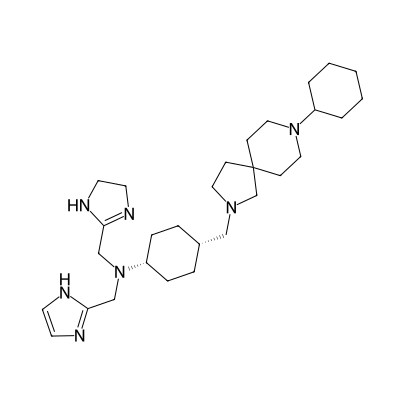 c1c[nH]c(CN(CC2=NCCN2)[C@H]2CC[C@@H](CN3CCC4(CCN(C5CCCCC5)CC4)C3)CC2)n1